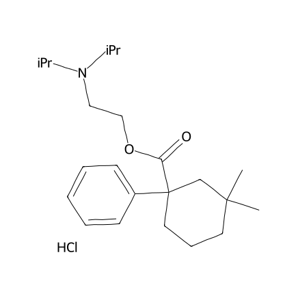 CC(C)N(CCOC(=O)C1(c2ccccc2)CCCC(C)(C)C1)C(C)C.Cl